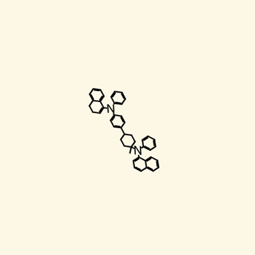 CC1(N(c2ccccc2)c2cccc3ccccc23)CCC(c2ccc(N(C3=CCCc4ccccc43)c3ccccc3)cc2)CC1